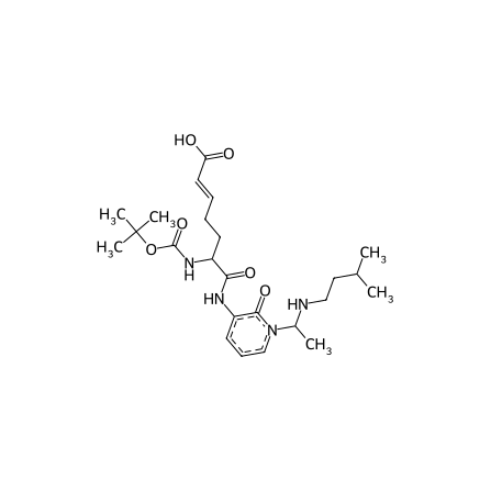 CC(C)CCNC(C)n1cccc(NC(=O)C(CCC=CC(=O)O)NC(=O)OC(C)(C)C)c1=O